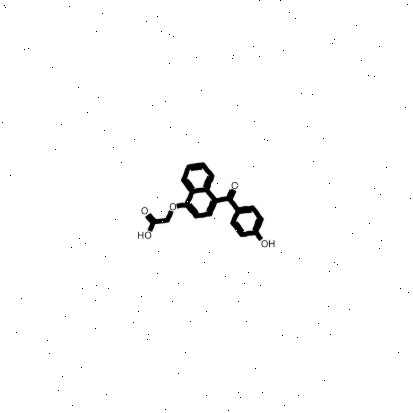 O=C(O)COc1ccc(C(=O)c2ccc(O)cc2)c2ccccc12